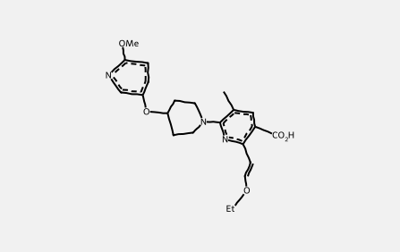 CCOC=Cc1nc(N2CCC(Oc3ccc(OC)nc3)CC2)c(C)cc1C(=O)O